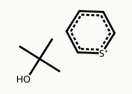 CC(C)(C)O.c1cc[s+]cc1